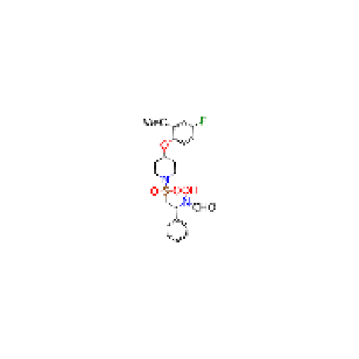 COc1cc(F)ccc1OC1CCN(S(=O)(=O)CC(c2ccccc2)N(O)C=O)CC1